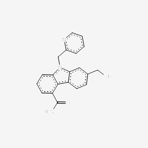 NC(=O)c1cccc2c1c1[c]cc(CO)cc1n2Cc1ccccn1